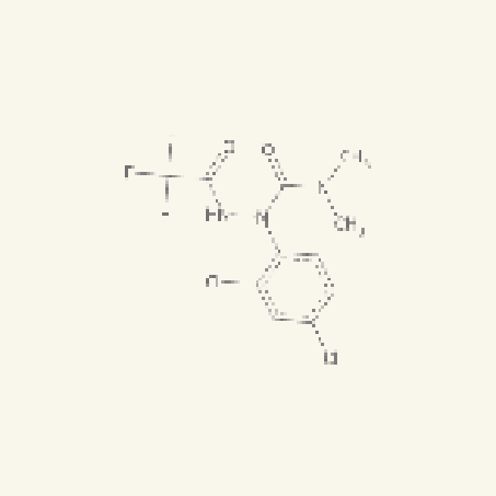 CN(C)C(=O)N(NC(=O)C(F)(F)F)c1ccc(Cl)cc1Cl